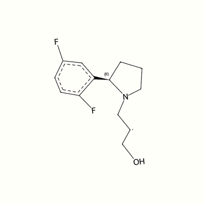 OC[CH]CN1CCC[C@@H]1c1cc(F)ccc1F